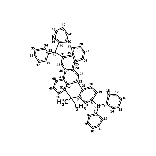 CC1(C)c2cc(B(c3ccccc3)c3ccccn3)ccc2-c2cc3c4ccccc4c(C(c4ccccc4)c4ccccn4)cc3c3cccc1c23